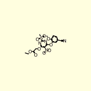 CCOC(=O)COc1nc(S(C)(=O)=O)nc(Oc2cc(C#N)ccc2OC)c1[N+](=O)[O-]